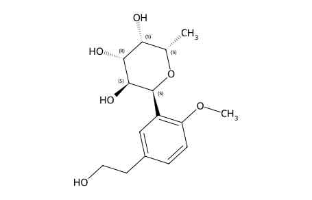 COc1ccc(CCO)cc1[C@@H]1O[C@@H](C)[C@@H](O)[C@@H](O)[C@@H]1O